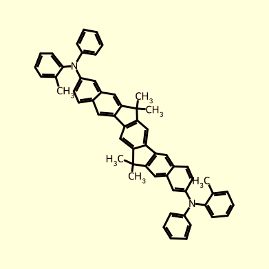 Cc1ccccc1N(c1ccccc1)c1ccc2cc3c(cc2c1)C(C)(C)c1cc2c(cc1-3)C(C)(C)c1cc3cc(N(c4ccccc4)c4ccccc4C)ccc3cc1-2